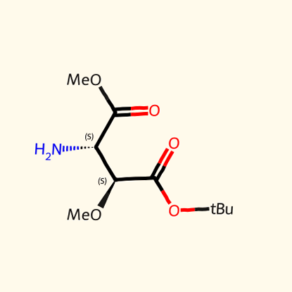 COC(=O)[C@@H](N)[C@H](OC)C(=O)OC(C)(C)C